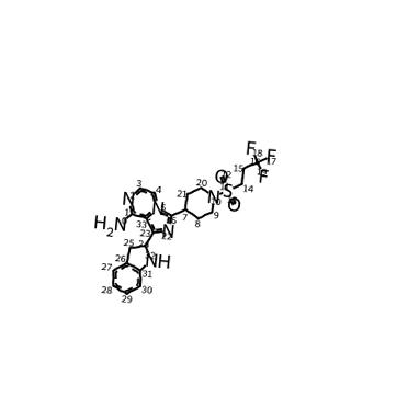 Nc1nccn2c(C3CCN(S(=O)(=O)CCC(F)(F)F)CC3)nc(C3Cc4ccccc4N3)c12